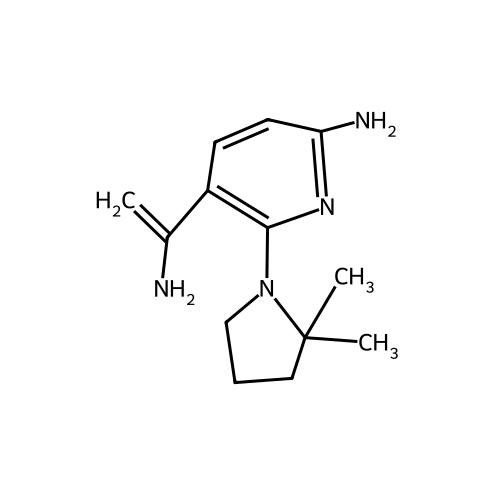 C=C(N)c1ccc(N)nc1N1CCCC1(C)C